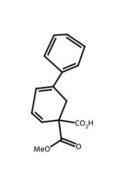 COC(=O)C1(C(=O)O)C=CC=C(c2ccccc2)C1